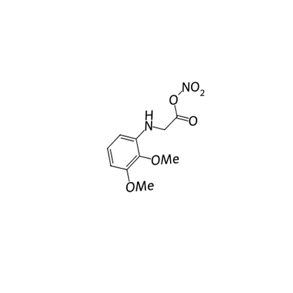 COc1cccc(NCC(=O)O[N+](=O)[O-])c1OC